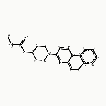 O=C(CC1CCN(C2=NC3=CCc4ccccc4N3C=C2)CC1)NI